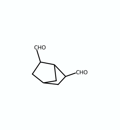 O=CC1CC2CC(C=O)C1C2